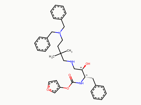 CC(C)(CCN(Cc1ccccc1)Cc1ccccc1)CNC[C@@H](O)[C@H](Cc1ccccc1)NC(=O)Oc1ccoc1